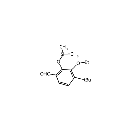 CCOc1c(C(C)(C)C)ccc(C=O)c1O[SiH](C)C